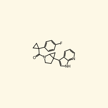 O=C(N1CCC2(c3c[nH]c4ncccc34)CC12)C1(c2ccc(F)cc2)CC1